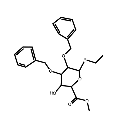 CCSC1OC(C(=O)OC)C(O)C(OCc2ccccc2)C1OCc1ccccc1